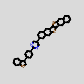 c1ccc2cc3c(cc2c1)sc1c2cc4ccc(-c5cnc(-c6ccc(-c7csc8ccccc78)cc6)nc5)cc4cc2sc31